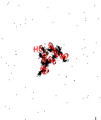 C=CC(=O)OCC(CC)(COCCC(=O)OCC(CC)(COC(=O)C=C)COC(=O)C=C)COC(=O)CCSCCO